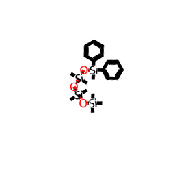 C[Si](C)(C)O[Si](C)(C)O[Si](C)(C)O[Si](C)(c1ccccc1)c1ccccc1